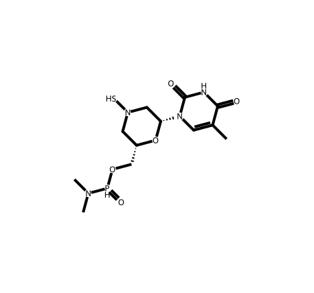 Cc1cn([C@H]2CN(S)C[C@@H](CO[PH](=O)N(C)C)O2)c(=O)[nH]c1=O